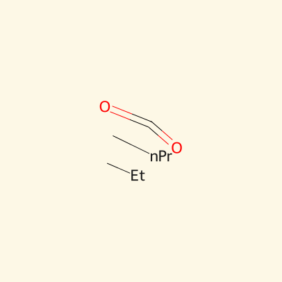 CCC.CCCC.O=C=O